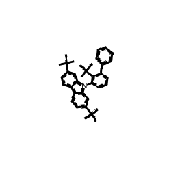 CC(C)(C)c1ccc2c3ccc(C(C)(C)C)cc3n(-c3cccc(-c4ccccc4)c3C(C)(C)C)c2c1